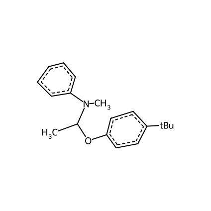 CC(Oc1ccc(C(C)(C)C)cc1)N(C)c1ccccc1